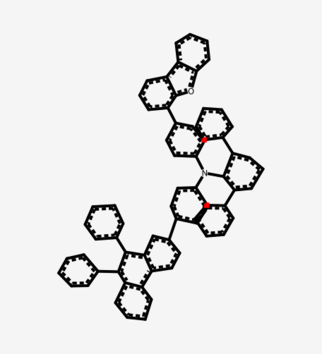 c1ccc(-c2cccc(-c3ccccc3)c2N(c2ccc(-c3ccc4c(c3)c(-c3ccccc3)c(-c3ccccc3)c3ccccc34)cc2)c2ccc(-c3cccc4c3oc3ccccc34)cc2)cc1